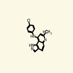 Cc1cc(Nc2ccc(Cl)cc2)c2c(ccc3cn[nH]c32)n1.Cl